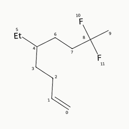 C=CCCC(CC)CCC(C)(F)F